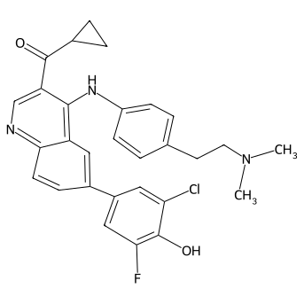 CN(C)CCc1ccc(Nc2c(C(=O)C3CC3)cnc3ccc(-c4cc(F)c(O)c(Cl)c4)cc23)cc1